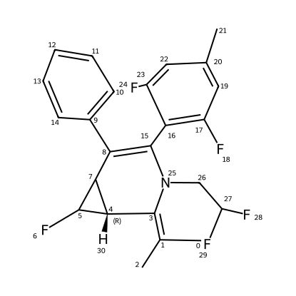 CC(C)=C1[C@@H]2C(F)C2C(c2ccccc2)=C(c2c(F)cc(C)cc2F)N1CC(F)F